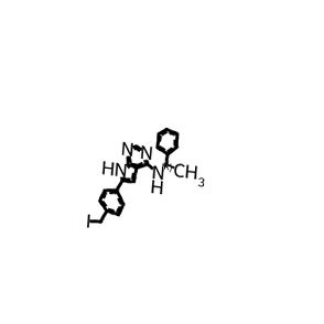 C[C@@H](Nc1ncnc2[nH]c(-c3ccc(CI)cc3)cc12)c1ccccc1